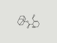 O=CC1=CCCNC1C(=O)OC12CC3CC(CC(C3)C1)C2